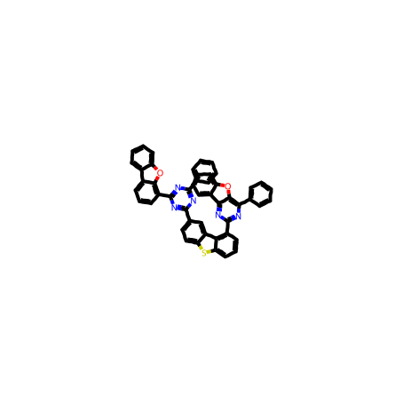 c1ccc(-c2nc(-c3ccc4sc5cccc(-c6nc(-c7ccccc7)c7oc8ccccc8c7n6)c5c4c3)nc(-c3cccc4c3oc3ccccc34)n2)cc1